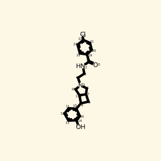 O=C(NCCN1CC2CC(c3cccc(O)c3)C2C1)c1ccc(Cl)cc1